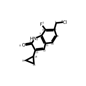 O=c1[nH]c2c(F)c(CCl)ccc2cc1C1CC1